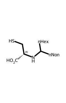 CCCCCCCCCC(CCCCCC)N[C@@H](CS)C(=O)O